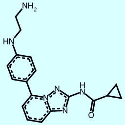 NCCNc1ccc(-c2cccc3nc(NC(=O)C4CC4)nn23)cc1